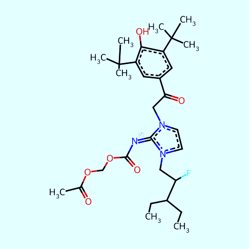 CCC(CC)C(F)Cn1ccn(CC(=O)c2cc(C(C)(C)C)c(O)c(C(C)(C)C)c2)/c1=N/C(=O)OCOC(C)=O